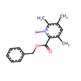 Cc1cc(C)c(C(=O)OCc2ccccc2)[n+](I)c1C